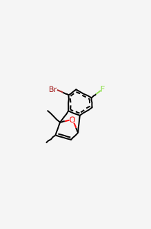 CC1=CC2OC1(C)c1c(Br)cc(F)cc12